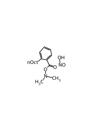 CCCCCCCCc1ccccc1C(=O)ON(C)C.O=NO